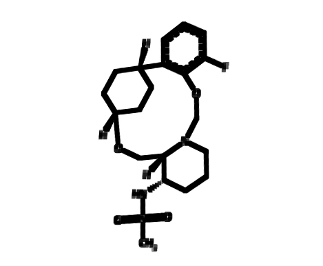 CS(=O)(=O)N[C@H]1CCCN2COc3c(F)cccc3[C@H]3CC[C@H](CC3)OC[C@@H]12